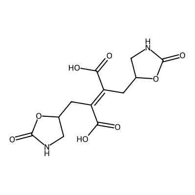 O=C1NCC(CC(C(=O)O)=C(CC2CNC(=O)O2)C(=O)O)O1